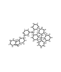 c1ccc(N(c2cccc(-c3ccc4oc5ccccc5c4c3)c2)c2ccc3c(c2)C2(c4ccccc4-c4ccccc42)c2ccccc2-3)cc1